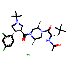 CC(=O)N[C@@H](CC(C)(C)C)C(=O)N1C[C@H](C)N(C(=O)[C@@H]2CN(C(C)(C)C)C[C@H]2c2ccc(F)cc2F)C[C@H]1C.Cl